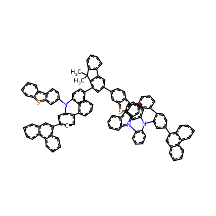 CC1(C)c2ccccc2-c2cc(-c3ccc4c(c3)sc3cc(N(c5cc(-c6cc7ccccc7c7ccccc67)ccc5-c5ccccc5)c5ccccc5-n5c6ccccc6c6ccccc65)ccc34)cc(-c3ccc(N(c4ccc5c(c4)sc4ccccc45)c4cc(-c5cc6ccccc6c6ccccc56)ccc4-c4ccccc4)cc3)c21